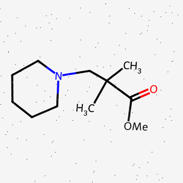 COC(=O)C(C)(C)CN1CCCCC1